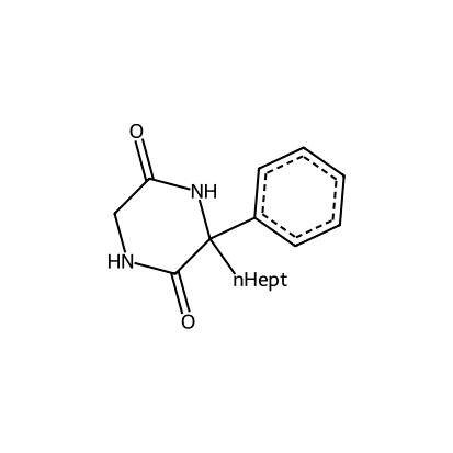 CCCCCCCC1(c2ccccc2)NC(=O)CNC1=O